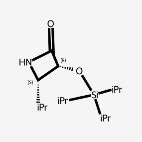 CC(C)[C@@H]1NC(=O)[C@@H]1O[Si](C(C)C)(C(C)C)C(C)C